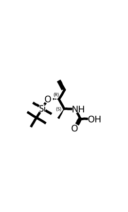 C=C[C@@H](O[Si](C)(C)C(C)(C)C)[C@H](C)NC(=O)O